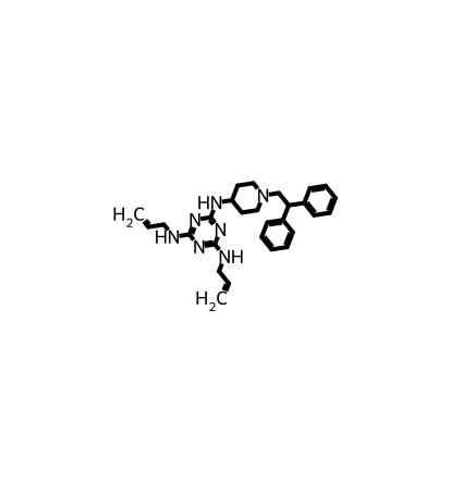 C=CCNc1nc(NCC=C)nc(NC2CCN(CC(c3ccccc3)c3ccccc3)CC2)n1